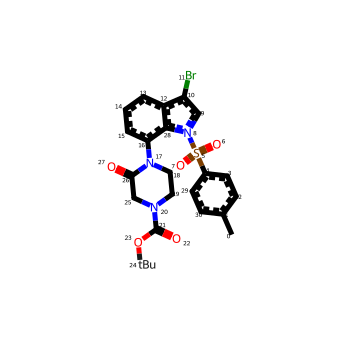 Cc1ccc(S(=O)(=O)n2cc(Br)c3cccc(N4CCN(C(=O)OC(C)(C)C)CC4=O)c32)cc1